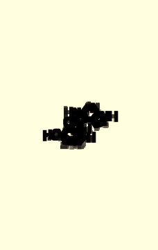 O=c1[nH]c2cnc3[nH]ccc3c2n1[C@@H]1[C@@H]2CC3C[C@H]1C[C@](O)(C3)C2